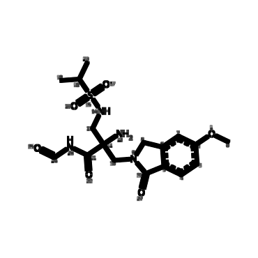 COc1ccc2c(c1)CN(CC(N)(CNS(=O)(=O)C(C)C)C(=O)NC=O)C2=O